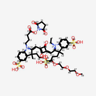 CC[N+]1=C(/C=C2\C(=O)C(/C=C3/N(CCCC(=O)ON4C(=O)CCC4=O)c4ccc(S(=O)(=O)O)cc4C3(C)CCOCCOCCOCCOC)=C2O)C(C)(CCCS(=O)(=O)O)c2cc(S(=O)(=O)O)ccc21